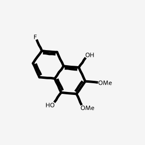 COc1c(OC)c(O)c2cc(F)ccc2c1O